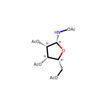 CC(=O)OC[C@H]1O[C@@H](NOC(C)=O)[C@@H](OC(C)=O)[C@H]1OC(C)=O